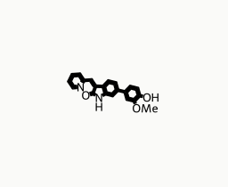 COc1cc(-c2ccc3c(c2)NC(=O)/C3=C\c2ccccn2)ccc1O